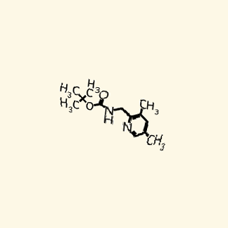 Cc1cnc(CNC(=O)OC(C)(C)C)c(C)c1